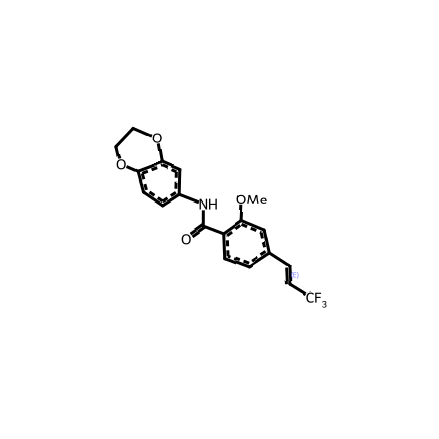 COc1cc(/C=C/C(F)(F)F)ccc1C(=O)Nc1ccc2c(c1)OCCO2